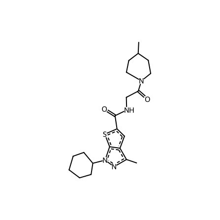 Cc1nn(C2CCCCC2)c2sc(C(=O)NCC(=O)N3CCC(C)CC3)cc12